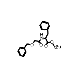 CC(C)(C)OC(=O)C(Cc1ccccc1)NC(=O)COCc1ccccc1